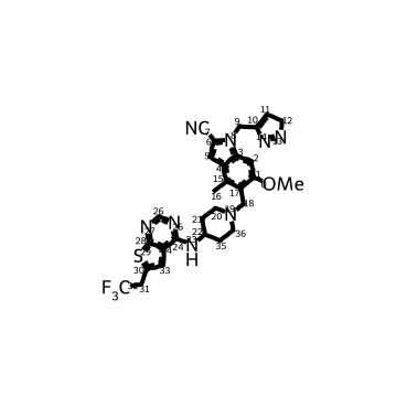 COc1cc2c(cc(C#N)n2CC2=CCN=N2)c(C)c1CN1CCC(Nc2ncnc3sc(CC(F)(F)F)cc23)CC1